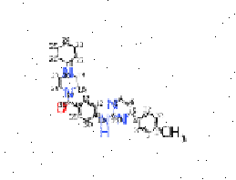 Cc1ccc(-c2ccnc(Nc3ccc(C(=O)N4CCN(C5CCCCC5)CC4)cc3)n2)cc1